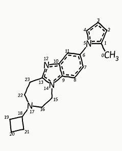 Cc1cccn1-c1ccc2c(c1)nc1n2CCN(C2CCC2)CC1